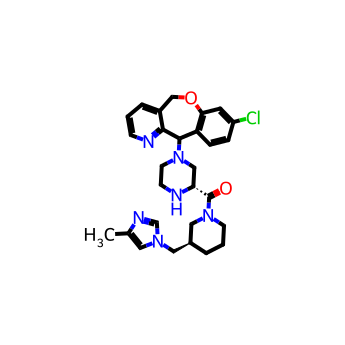 Cc1cn(C[C@@H]2CCCN(C(=O)[C@H]3CN(C4c5ccc(Cl)cc5OCc5cccnc54)CCN3)C2)cn1